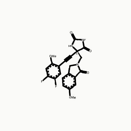 COc1ccc2c(c1)C(=O)N(C[C@@]1(C#Cc3cc(F)c(F)cc3OC)NC(=O)NC1=O)C2